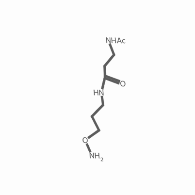 CC(=O)NCCC(=O)NCCCON